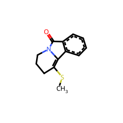 CSC1=C2c3ccccc3C(=O)N2CCC1